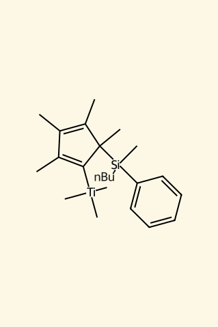 CCCC[Si](C)(c1ccccc1)C1(C)C(C)=C(C)C(C)=[C]1[Ti]([CH3])([CH3])[CH3]